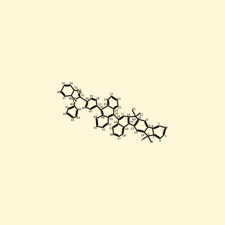 CC1(C)c2ccccc2-c2cc3c(cc21)-c1c(cc(-c2c4ccccc4c(-c4ccc(C5=NC6C=CC=CC6N5c5ccccc5)cc4)c4ccccc24)c2ccccc12)C3(C)C